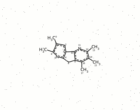 Cc1cc2c(nc1C)Cc1c-2nc(C)c(C)c1C